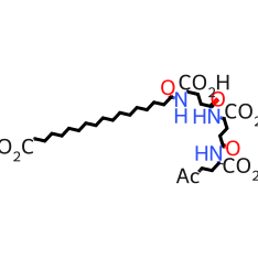 CC(=O)CC[C@H](NC(=O)CC[C@H](NC(=O)CC[C@H](NC(=O)CCCCCCCCCCCCCCCCC(=O)O)C(=O)O)C(=O)O)C(=O)O